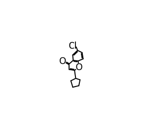 O=c1cc(C2CCCC2)oc2ccc(Cl)cc12